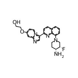 N[C@@H]1CCN(c2cccc3ccc(-c4cnc5cc(OCCO)ccn45)nc23)C[C@@H]1F